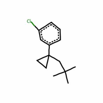 CC(C)(C)CC1(c2cccc(Cl)c2)CC1